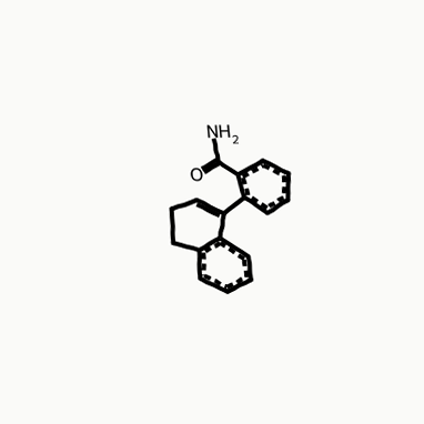 NC(=O)c1ccccc1C1=CCCc2ccccc21